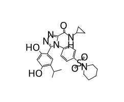 CC(C)c1cc(-c2nnc(C(=O)NC3CC3)n2-c2ccc(S(=O)(=O)N3CCCCC3)cc2)c(O)cc1O